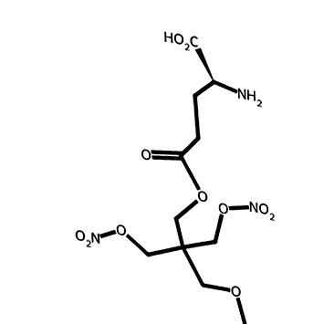 N[C@@H](CCC(=O)OCC(CO[N+](=O)[O-])(CO[N+](=O)[O-])CO[N+](=O)[O-])C(=O)O